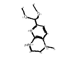 COC(OC)c1ccc2c(n1)NCCN2C